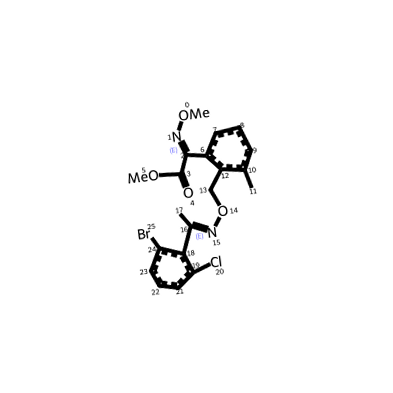 CO/N=C(/C(=O)OC)c1cccc(C)c1CO/N=C(\C)c1c(Cl)cccc1Br